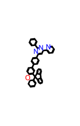 C1=CCC2Oc3ccc(-c4ccc(-c5cc(-c6ccccn6)nc(-c6ccccc6)n5)cc4)cc3C3(C2=C1)c1ccccc1-c1ccccc13